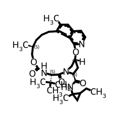 CCC1CC1(C)NC(=O)[C@@H]1C[C@@H]2CN1C(=O)[C@H](C(C)(C)C)NC(=O)OC[C@@H](C)CCCc1cc3c(nccc3cc1C)O2